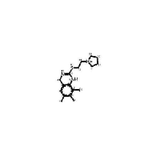 Cc1cc2c(c(I)c1C)NC(SCCN1CCCC1)=NC2